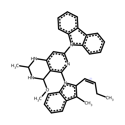 CC/C=C\c1c(C)c2ccccc2n1-c1nc(-n2c3ccccc3c3ccccc32)cc2c1C(OC)NC(C)N2